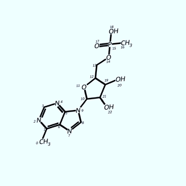 Cc1ncnc2c1ncn2C1OC(COP(C)(=O)O)C(O)C1O